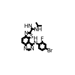 CC(C)NC(=N)c1nc2ccc3ncnc(Nc4ccc(Br)cc4F)c3c2s1